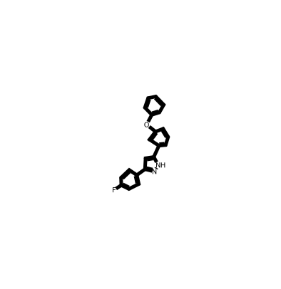 Fc1ccc(-c2cc(-c3cccc(Oc4ccccc4)c3)[nH]n2)cc1